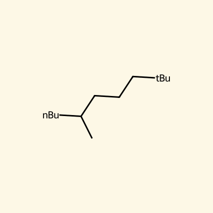 [CH2]CCCC(C)CCCC(C)(C)C